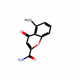 COc1cccc2oc(C(N)=O)cc(=O)c12